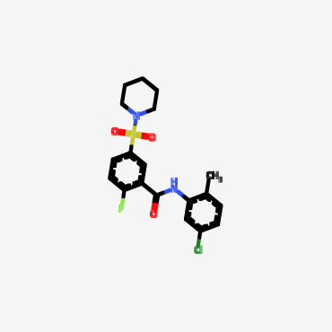 Cc1ccc(Cl)cc1NC(=O)c1cc(S(=O)(=O)N2CCCCC2)ccc1F